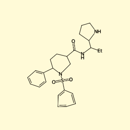 CCC(NC(=O)C1CCC(c2ccccc2)N(S(=O)(=O)c2ccccc2)C1)C1CCCN1